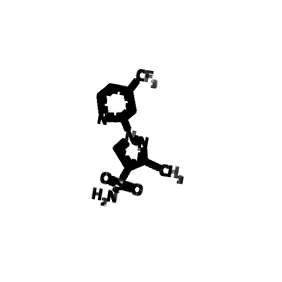 Cc1nn(-c2cc(C(F)(F)F)ccn2)cc1S(N)(=O)=O